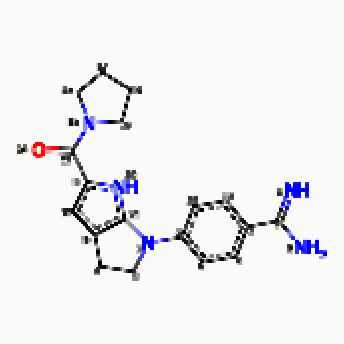 N=C(N)c1ccc(N2CCc3cc(C(=O)N4CCCC4)[nH]c32)cc1